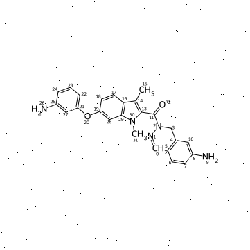 C=NN(Cc1cccc(N)c1)C(=O)c1c(C)c2ccc(Oc3cccc(N)c3)cc2n1C